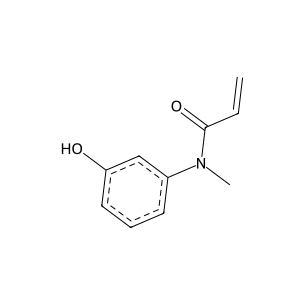 C=CC(=O)N(C)c1cccc(O)c1